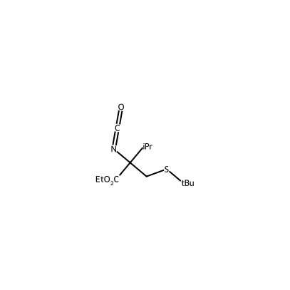 CCOC(=O)C(CSC(C)(C)C)(N=C=O)C(C)C